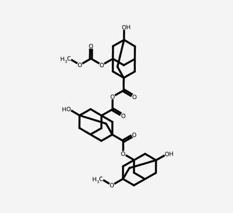 COC(=O)OC12CC3CC(O)(C1)CC(C(=O)OC(=O)C14CC5CC(O)(C1)CC(C(=O)OC16CC7CC(O)(CC(OC)(C7)C1)C6)(C5)C4)(C3)C2